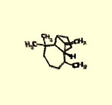 C=C1C2CC[C@H]3C2C(C)(C)CCCC13C